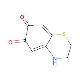 O=C1C=C2NCCSC2=CC1=O